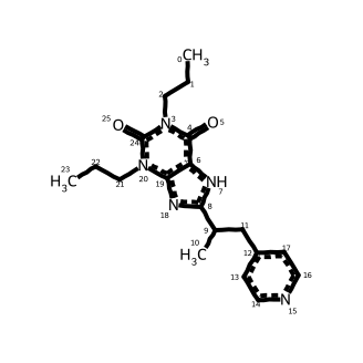 CCCn1c(=O)c2[nH]c(C(C)Cc3ccncc3)nc2n(CCC)c1=O